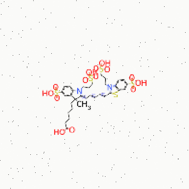 CC1(CCCCCC(=O)O)/C(=C/C=C/C=C/c2sc3cc(S(=O)(=O)O)ccc3[n+]2CCCS(=O)(=O)O)N(CCCS(=O)(=O)O)c2ccc(S(=O)(=O)O)cc21